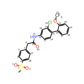 CS(=O)(=O)c1ccc(CC(=O)Nc2ccc(-c3ccccc3OC(F)(F)F)c(Cl)c2)cc1